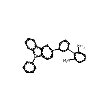 Nc1cccc(N)c1-c1cccc(-c2ccc3c(c2)c2ccccc2n3-c2ccccc2)c1